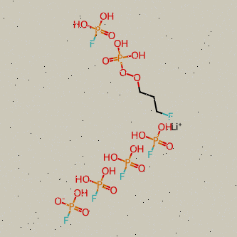 O=P(O)(O)F.O=P(O)(O)F.O=P(O)(O)F.O=P(O)(O)F.O=P(O)(O)OOCCCF.O=P([O-])(O)F.[Li+]